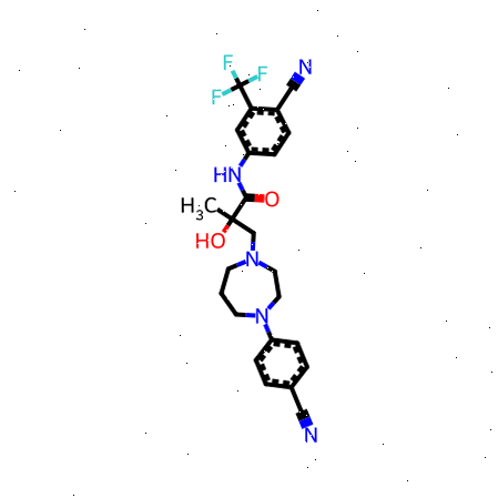 CC(O)(CN1CCCN(c2ccc(C#N)cc2)CC1)C(=O)Nc1ccc(C#N)c(C(F)(F)F)c1